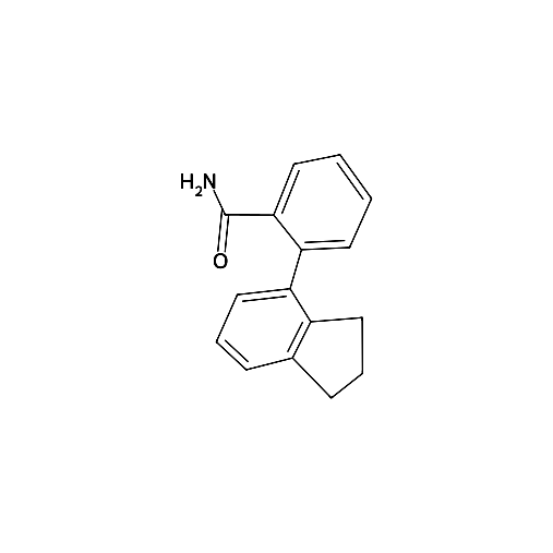 NC(=O)c1ccccc1-c1cccc2c1CCC2